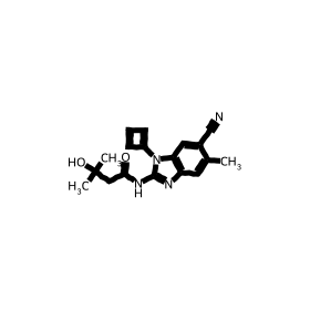 Cc1cc2nc(NC(=O)CC(C)(C)O)n(C3=CC=C3)c2cc1C#N